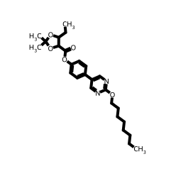 CCCCCCCCOc1ncc(-c2ccc(OC(=O)C3OC(C)(C)OC3CC)cc2)cn1